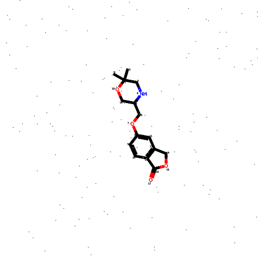 CC1(C)CNC(COc2ccc3c(c2)COC3=O)CO1